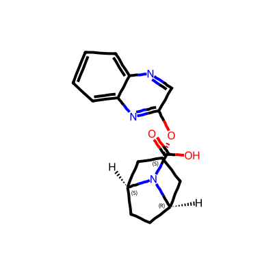 O=C(O)N1[C@@H]2CC[C@H]1C[C@H](Oc1cnc3ccccc3n1)C2